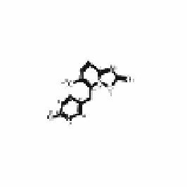 Cc1ccc2nc(=O)on2c1Cc1ccc(Cl)nc1